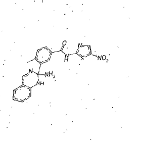 Cc1ccc(C(=O)Nc2ncc([N+](=O)[O-])s2)cc1C1(N)N=Cc2ccccc2N1